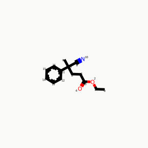 CCOC(=O)CCC(C)(C#N)c1ccccc1